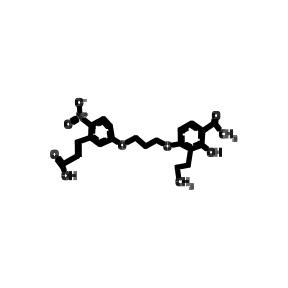 CCCc1c(OCCCOc2ccc([N+](=O)[O-])c(/C=C/C(=O)O)c2)ccc(C(C)=O)c1O